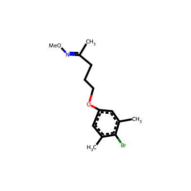 CON=C(C)CCCOc1cc(C)c(Br)c(C)c1